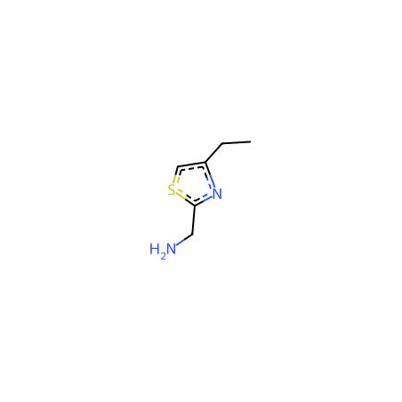 CCc1csc(CN)n1